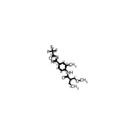 CCC(COC)C(=O)Nc1ccc(-c2noc(C(F)(F)F)n2)cc1C